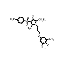 CCOC(=O)c1c(C)c(S(=O)(=O)c2ccc(C)cc2)c(C)n1CCCOc1cc(C)c(Cl)c(C)c1